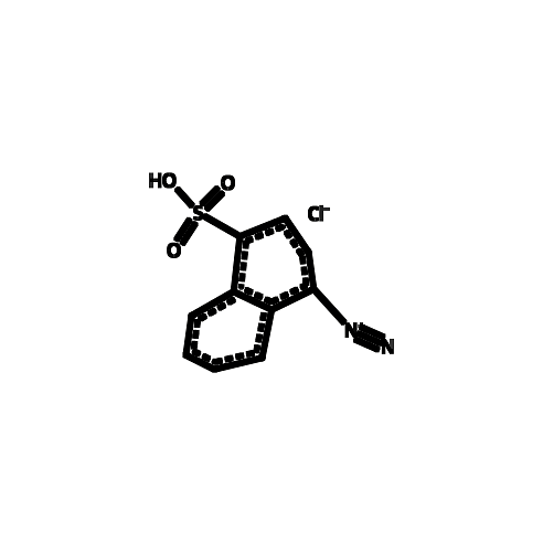 N#[N+]c1ccc(S(=O)(=O)O)c2ccccc12.[Cl-]